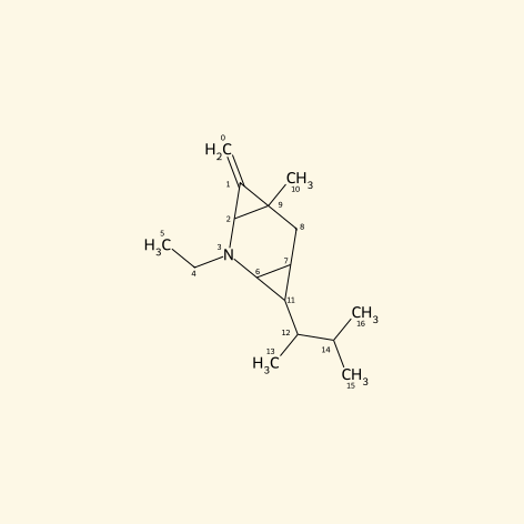 C=C1C2N(CC)C3C(CC12C)C3C(C)C(C)C